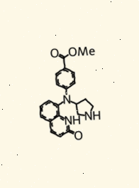 COC(=O)c1ccc(N(c2cccc3ccc(=O)[nH]c23)C2CCNC2)cc1